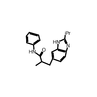 CC(Cc1ccc2nc(C(C)C)[nH]c2c1)C(=O)Nc1ccccc1